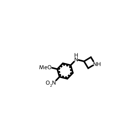 COc1cc(NC2CNC2)ccc1[N+](=O)[O-]